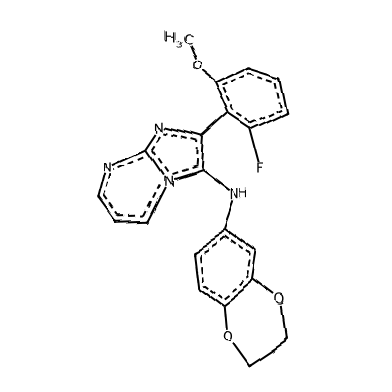 COc1cccc(F)c1-c1nc2ncccn2c1Nc1ccc2c(c1)OCCO2